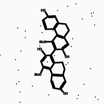 COc1cc(O)c(-c2c(O)cc3c(c2OC)-c2ccc(O)cc2CC3)c2c1-c1ccc(O)cc1CC2